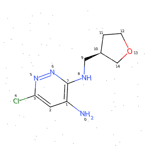 Nc1cc(Cl)nnc1NC[C@H]1CCOC1